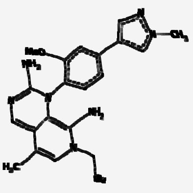 COc1cc(-c2cnn(C)c2)ccc1N1C(N)=NC=C2C(C)=CN(CC(C)(C)C)C(N)=C21